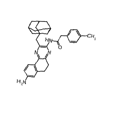 Cc1ccc(CC(=O)Nc2nc3c(nc2CC24CC5CC(CC(C5)C2)C4)-c2ccc(N)cc2CC3)cc1